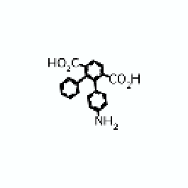 Nc1ccc(-c2c(C(=O)O)ccc(C(=O)O)c2-c2ccccc2)cc1